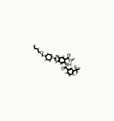 CCCCOC[C@H]1CC[C@H](c2nc3cc(C(=O)OC)c(NC(=O)c4cccc(C(C)(F)F)c4)cc3s2)CC1